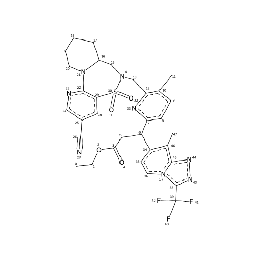 CCOC(=O)CC(c1ccc(C)c(CN2CC3CCCCN3c3ncc(C#N)cc3S2(=O)=O)n1)c1ccn2c(C(F)(F)F)nnc2c1C